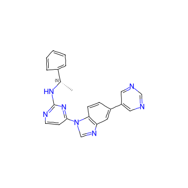 C[C@H](Nc1nccc(-n2cnc3cc(-c4cncnc4)ccc32)n1)c1ccccc1